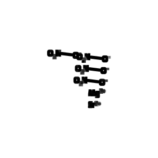 O=[N+]([O-])[O-].O=[N+]([O-])[O-].O=[N+]([O-])[O-].O=[N+]([O-])[O-].[Mg+2].[Sr+2]